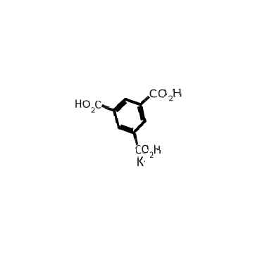 O=C(O)c1cc(C(=O)O)cc(C(=O)O)c1.[K]